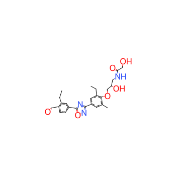 CCc1cc(-c2nc(-c3cc(C)c(OCC(O)CNC(=O)CO)c(CC)c3)no2)ccc1C=O